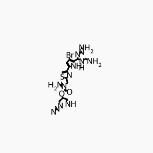 [N-]=[N+]=NCC(C=N)OC(=O)N(N)Cc1nc(-c2cc(Br)c(C(N=NN)NCN)[nH]2)cs1